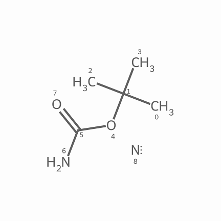 CC(C)(C)OC(N)=O.[N]